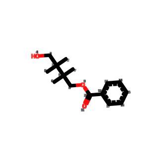 CC(C)(CO)C(C)(C)COC(=O)c1ccccc1